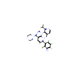 Cc1ccnc(C(C)C)c1-n1c(=O)nc(N2C[C@@H](C)N[C@@H](C)C2)c2cc(F)c(-c3c(Cl)c(N)c(F)c(F)c3Cl)nc21